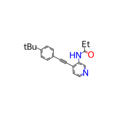 CCC(=O)Nc1cnccc1C#Cc1ccc(C(C)(C)C)cc1